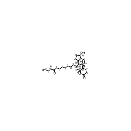 CC(C)CNC(=O)CCCCCCC[C@@H]1C[C@H]2CC(=O)CC[C@]2(C)[C@H]2CC[C@]3(C)[C@@H](O)CC[C@H]3[C@H]12